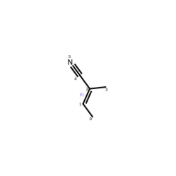 C/C=C(\C)C#N